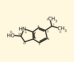 CC(C)c1ccc2c(c1)NC(O)C2